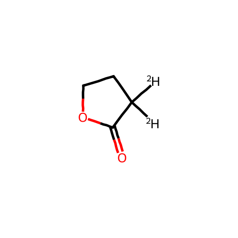 [2H]C1([2H])CCOC1=O